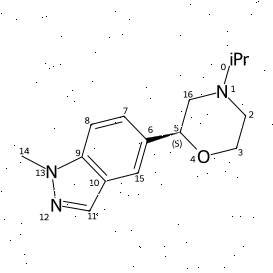 CC(C)N1CCO[C@@H](c2ccc3c(cnn3C)c2)C1